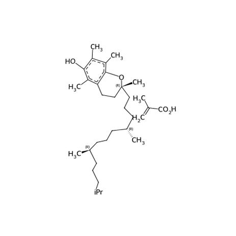 C=C(C)C(=O)O.Cc1c(C)c2c(c(C)c1O)CC[C@@](C)(CCC[C@H](C)CCC[C@H](C)CCCC(C)C)O2